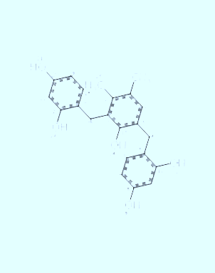 Cc1cc(Cc2ccc(O)cc2O)c(O)c(Cc2ccc(O)cc2O)c1C